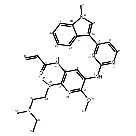 C=CC(=O)Nc1cc(Nc2nccc(-c3cn(C)c4ccccc34)n2)c(OC)nc1N(C)CCN(C)CC